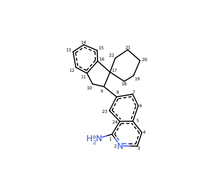 Nc1nccc2ccc(C3Cc4ccccc4C34CCCCC4)cc12